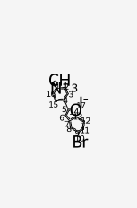 C[n+]1ccc(-c2cc3cc(Br)ccc3o2)cc1.[I-]